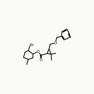 CC1CCC(C(C)C)C(OC(=O)C2C(COCc3ccccc3)C2(C)C)C1